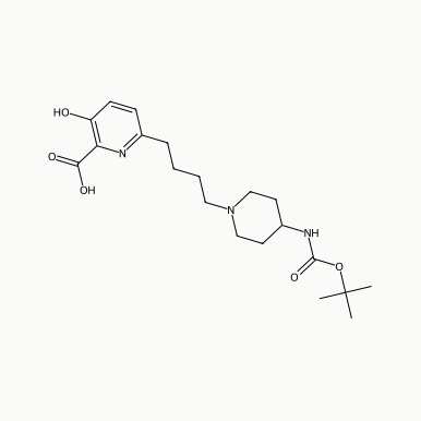 CC(C)(C)OC(=O)NC1CCN(CCCCc2ccc(O)c(C(=O)O)n2)CC1